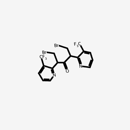 O=C(C(CBr)c1ncccc1C(F)(F)F)C(CBr)c1ncccc1C(F)(F)F